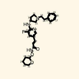 O=C(C=Cc1cnc(N[C@@H]2CCN(CCc3ccccc3)C2)c(F)c1)NOC1CCCCO1